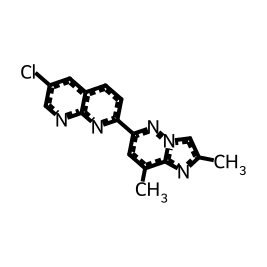 Cc1cn2nc(-c3ccc4cc(Cl)cnc4n3)cc(C)c2n1